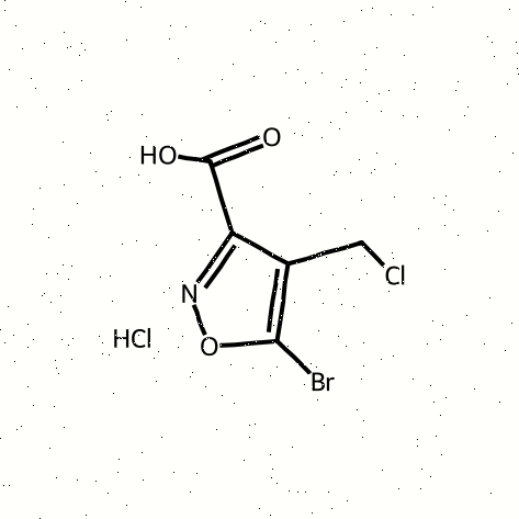 Cl.O=C(O)c1noc(Br)c1CCl